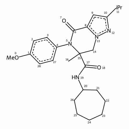 COc1ccc(N2C(=O)c3cc(C(C)C)nn3CC2(C)C(=O)NC2CCCCCC2)cc1